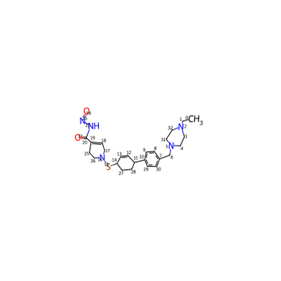 CCN1CCN(Cc2ccc(C3C=CC(SN4CC=C(C(=O)NN=O)CC4)CC3)cc2)CC1